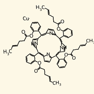 CC=CCCC(=O)Oc1ccccc1-c1c2nc(c(-c3ccccc3OC(=O)CCC=CC)c3ccc([nH]3)c(-c3ccccc3OC(=O)CCC=CC)c3nc(c(-c4ccccc4OC(=O)CCC=CC)c4ccc1[nH]4)C=C3)C=C2.[Cu]